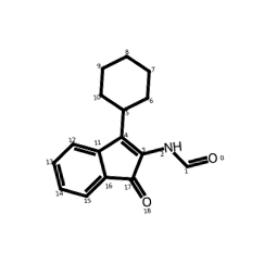 O=CNC1=C(C2CCCCC2)c2ccccc2C1=O